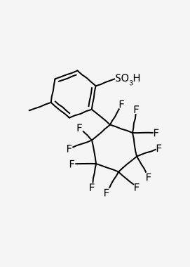 Cc1ccc(S(=O)(=O)O)c(C2(F)C(F)(F)C(F)(F)C(F)(F)C(F)(F)C2(F)F)c1